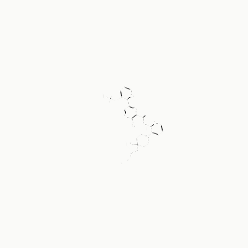 COCCC1(N)CCN(c2cccnc2NC(=O)c2nc(-c3ncccc3OC(F)(F)F)cnc2N)CC1